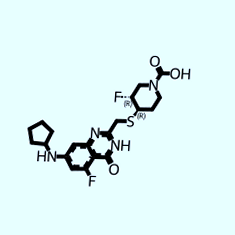 O=C(O)N1CC[C@@H](SCc2nc3cc(NC4CCCC4)cc(F)c3c(=O)[nH]2)[C@H](F)C1